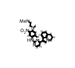 CNCCN(C)c1cc(C)c(Nc2nccc(-c3cn4c5c(cccc35)CCC4)n2)cc1[N+](=O)[O-]